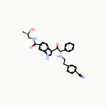 C[C@@H](O)CNC(=O)c1ccc2c(C(=O)[C@@H](NCCc3ccc(C#N)cc3)c3ccccc3)c[nH]c2c1